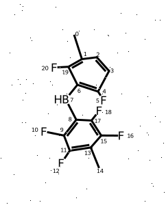 Cc1ccc(F)c(Bc2c(F)c(F)c(C)c(F)c2F)c1F